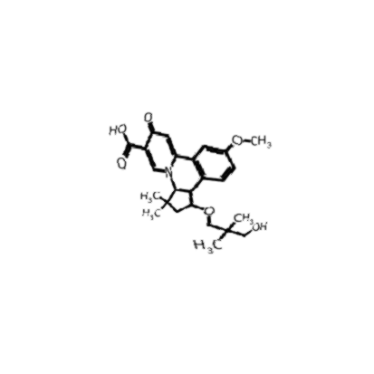 COc1ccc2c(c1)-c1cc(=O)c(C(=O)O)cn1C1C2C(OCC(C)(C)CO)CC1(C)C